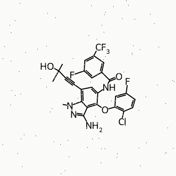 Cn1nc(N)c2c(Oc3cc(F)ccc3Cl)c(NC(=O)c3cc(F)cc(C(F)(F)F)c3)cc(C#CC(C)(C)O)c21